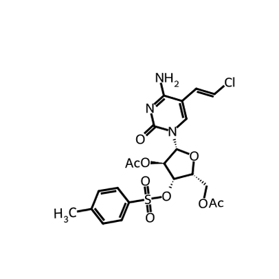 CC(=O)OC[C@H]1O[C@@H](n2cc(/C=C/Cl)c(N)nc2=O)[C@H](OC(C)=O)[C@H]1OS(=O)(=O)c1ccc(C)cc1